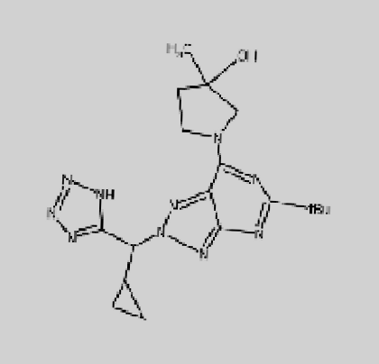 CC1(O)CCN(c2nc(C(C)(C)C)nc3nn(C(c4nnn[nH]4)C4CC4)nc23)C1